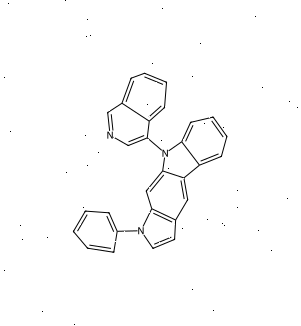 c1ccc(-n2ccc3cc4c5ccccc5n(-c5cncc6ccccc56)c4cc32)cc1